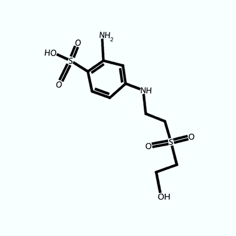 Nc1cc(NCCS(=O)(=O)CCO)ccc1S(=O)(=O)O